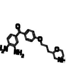 Nc1ccc(C(=O)c2ccc(OCCCC3CNCCO3)cc2)cc1N